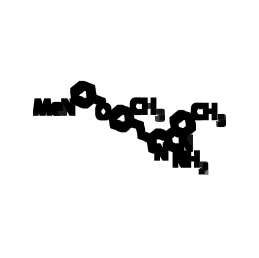 CNc1cccc(COc2ccc(CCc3cnc4c(N)nc5cc(C)ccc5c4c3)c(C)c2)c1